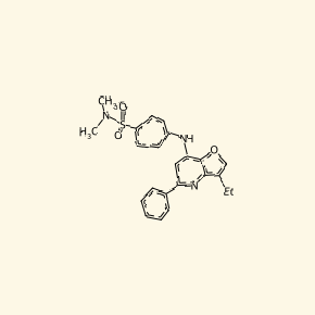 CCc1coc2c(Nc3ccc(S(=O)(=O)N(C)C)cc3)cc(-c3ccccc3)nc12